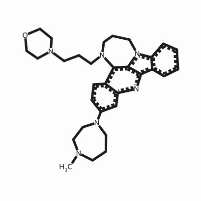 CN1CCCN(c2ccc3c4c5c(nc3c2)c2ccccc2n5CCCN4CCCN2CCOCC2)CC1